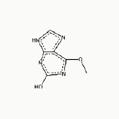 COc1nc(O)nc2[nH]cnc12